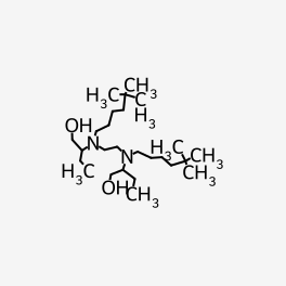 CCC(CO)N(CCCCC(C)(C)C)CCN(CCCCC(C)(C)C)C(CC)CO